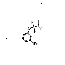 CC(C)c1cccc(OC(F)(F)C(F)F)c1